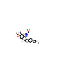 COc1ccc(/C(Cc2ccc(C)cc2)=N\NC=O)c(C)c1